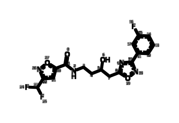 O=C(NCCC(O)Cc1nc(-c2cccc(F)c2)no1)c1cc(C(F)F)no1